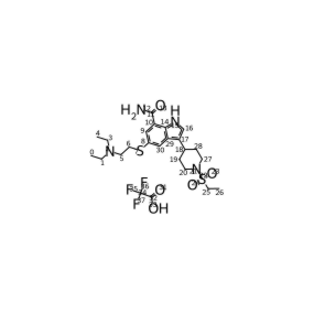 CCN(CC)CCSc1cc(C(N)=O)c2[nH]cc(C3CCN(S(=O)(=O)CC)CC3)c2c1.O=C(O)C(F)(F)F